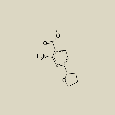 COC(=O)c1ccc(C2CCCO2)cc1N